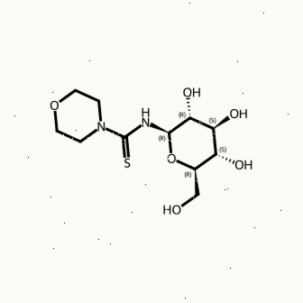 OC[C@H]1O[C@@H](NC(=S)N2CCOCC2)[C@H](O)[C@@H](O)[C@@H]1O